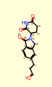 O=CCCc1ccc2c(c1)CN(C1CCC(=O)NC1=O)C2=O